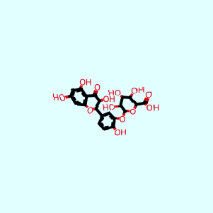 O=C1c2c(O)cc(O)cc2OC(c2ccc(O)c(OC3OC(C(=O)O)C(O)C(O)C3O)c2)C1O